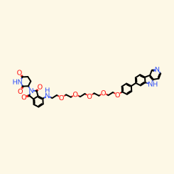 O=C1CCC(N2C(=O)c3cccc(NCCOCCOCCOCCOCCOc4ccc(-c5ccc6c(c5)[nH]c5ccncc56)cc4)c3C2=O)C(=O)N1